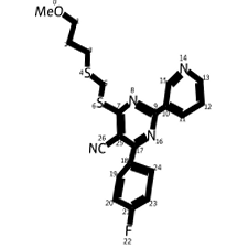 COCCCSCSc1nc(-c2cccnc2)nc(-c2ccc(F)cc2)c1C#N